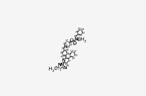 Cc1cc2ncc3cc(-c4ccccc4)c(-c4ccc(CN5CCC(OC(=O)N(C)Cc6ccccc6)CC5)cc4)nc3n2n1